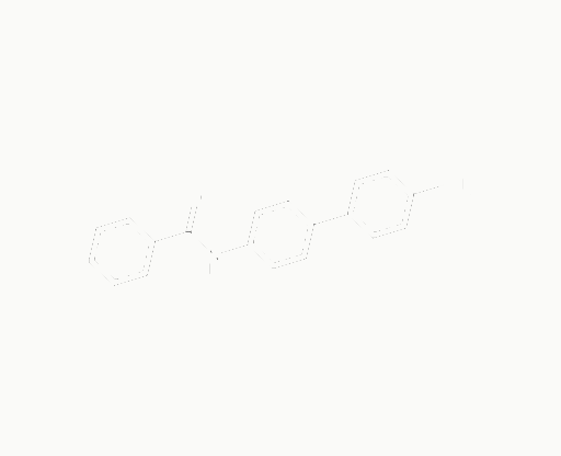 Cc1ccc(-c2ccc(NC(=O)c3ccccc3)cc2)cc1